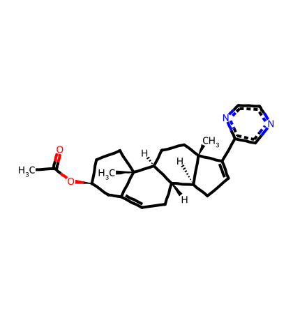 CC(=O)O[C@H]1CC[C@@]2(C)C(=CC[C@@H]3[C@@H]2CC[C@]2(C)C(c4cnccn4)=CC[C@@H]32)C1